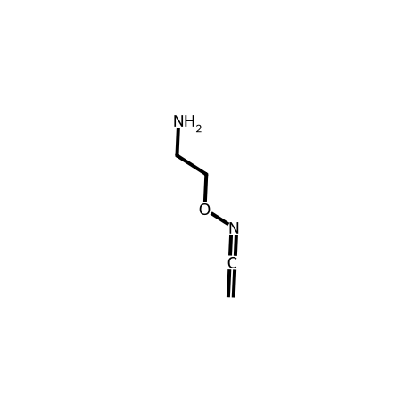 C=C=NOCCN